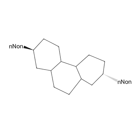 CCCCCCCCC[C@H]1CCC2C(CCC3C[C@@H](CCCCCCCCC)CCC32)C1